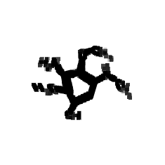 CNc1cc(O)c(C)c(N)c1OC